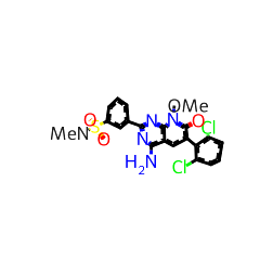 CNS(=O)(=O)c1cccc(-c2nc(N)c3cc(-c4c(Cl)cccc4Cl)c(=O)n(OC)c3n2)c1